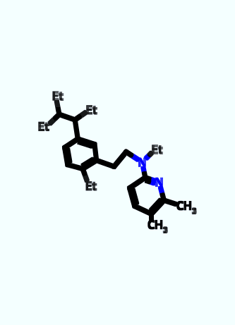 CCc1ccc(C(CC)C(CC)CC)cc1CCN(CC)c1ccc(C)c(C)n1